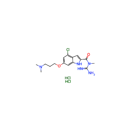 CN(C)CCCOc1cc(Cl)c2cc(C(=O)N(C)C(=N)N)[nH]c2c1.Cl.Cl